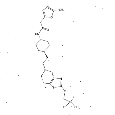 Cc1ncc(CC(=O)N[C@H]2CC[C@H](CCN3CCc4sc(OCC(C)(F)F)nc4C3)CC2)o1